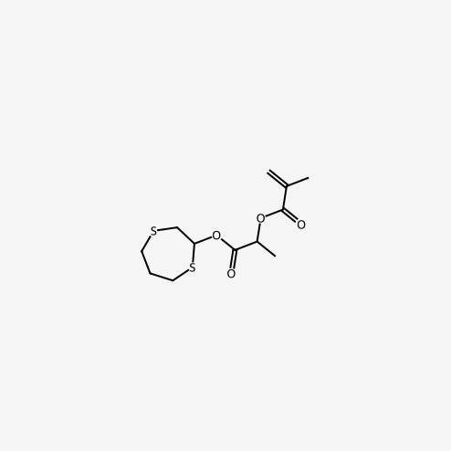 C=C(C)C(=O)OC(C)C(=O)OC1CSCCCS1